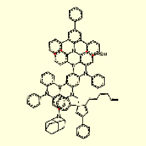 C=C/C=C\C=CC1=CC(c2ccccc2)=C[C@@]1(CN1c2cc3c(cc2B2c4ccccc4N(c4ccccc4)c4cc(N5C6CC7CC(C6)CC5C7)cc1c42)B1c2ccccc2N(c2c(-c4ccccc4)cc(-c4ccccc4)cc2-c2ccccc2)c2cc(C(C)(C)C)cc(c21)N3c1ccccc1)c1ccccc1